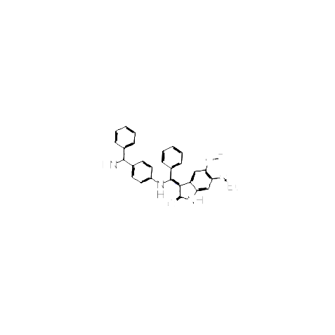 CCOc1cc2c(cc1OCC)/C(=C(/Nc1ccc(C(N)c3ccccc3)cc1)c1ccccc1)C(=O)N2